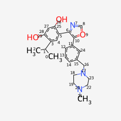 CC(C)c1cc(-c2ncoc2-c2cccc(CN3CCN(C)CC3)c2)c(O)cc1O